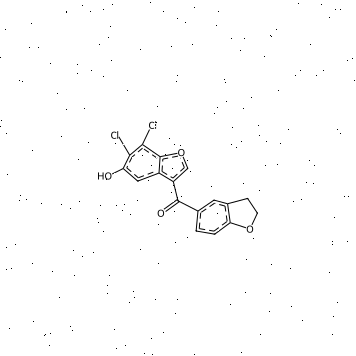 O=C(c1ccc2c(c1)CCO2)c1coc2c(Cl)c(Cl)c(O)cc12